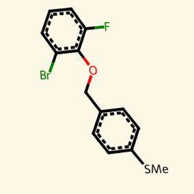 CSc1ccc(COc2c(F)cccc2Br)cc1